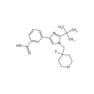 CC(C)(C)c1nc(-c2cccc(C(=O)O)c2)cn1CC1(F)CCOCC1